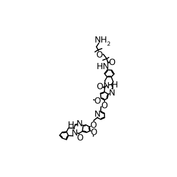 COc1cc2c(cc1OCc1cccc(COc3cc4c(cc3OC)C(=O)N3Cc5cc(NC(=O)C(C)(C)COC(C)(C)CCN)ccc5C[C@H]3C=N4)n1)N=C[C@@H]1Cc3ccccc3CN1C2=O